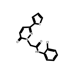 O=C(Cn1nc(-c2cccs2)ccc1=O)Nc1ccccc1Cl